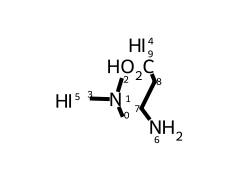 CN(C)C.I.I.NCCC(=O)O